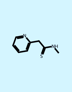 CNC(=S)Cc1ccccn1